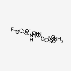 NS(=O)(=O)c1nc2cc(OCc3cn(CC(=O)NCC[S+]([O-])Cc4cccc(OCCF)c4)nn3)ccc2s1